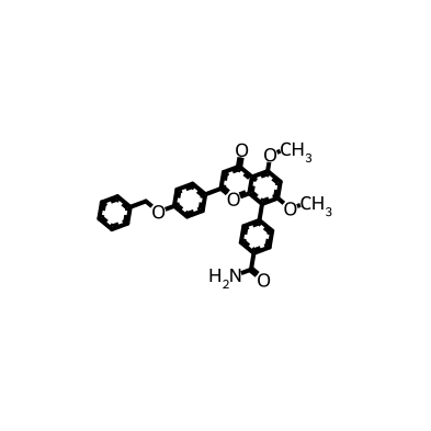 COc1cc(OC)c2c(=O)cc(-c3ccc(OCc4ccccc4)cc3)oc2c1-c1ccc(C(N)=O)cc1